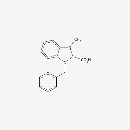 CN1c2ccccc2N(Cc2ccccc2)C1C(=O)O